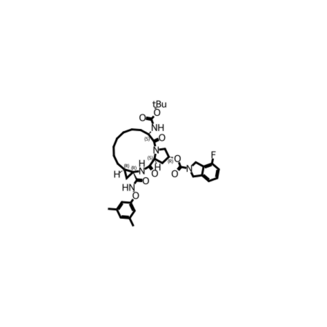 Cc1cc(C)cc(ONC(=O)[C@@]23C[C@H]2CCCCCCC[C@H](NC(=O)OC(C)(C)C)C(=O)N2C[C@H](OC(=O)N4Cc5cccc(F)c5C4)C[C@H]2C(=O)N3)c1